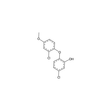 COc1ccc(Oc2ccc(Cl)cc2O)c(Cl)c1